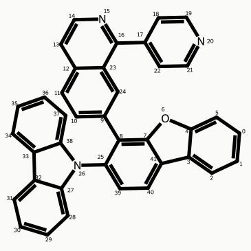 c1ccc2c(c1)oc1c(-c3ccc4ccnc(-c5ccncc5)c4c3)c(-n3c4ccccc4c4ccccc43)ccc12